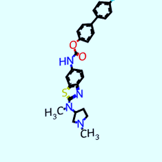 CN1CCC(N(C)c2nc3ccc(NC(=O)Oc4ccc(-c5ccc(F)cc5)cc4)cc3s2)C1